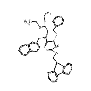 CCOC(CN(Cc1ccc2ccccc2c1)C(=O)[C@H](CCc1ccccc1)NC(=O)OCC1c2ccccc2-c2ccccc21)OCC